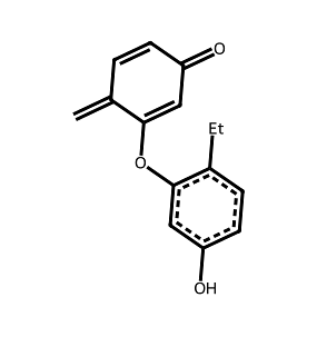 C=C1C=CC(=O)C=C1Oc1cc(O)ccc1CC